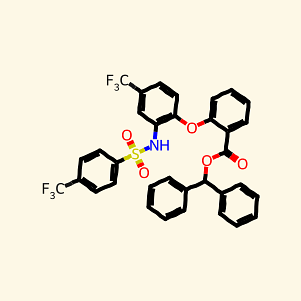 O=C(OC(c1ccccc1)c1ccccc1)c1ccccc1Oc1ccc(C(F)(F)F)cc1NS(=O)(=O)c1ccc(C(F)(F)F)cc1